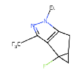 CCn1nc(C(F)(F)F)c2c1CC1CC21F